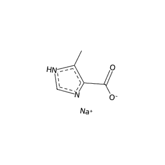 Cc1[nH]cnc1C(=O)[O-].[Na+]